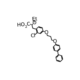 CCO[C@@H](Cc1ccc(OCCCOc2ccc(-c3ccccc3)cc2)cc1Cl)C(=O)O